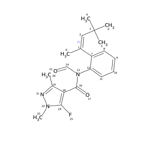 C/C(=C/C(C)(C)C)c1ccccc1N(C=O)C(=O)c1c(C)nn(C)c1F